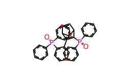 O=P(C1=C(c2ccccc2P(=O)(c2ccccc2)c2ccccc2)C2C=CC1C2)(c1ccccc1)c1ccccc1